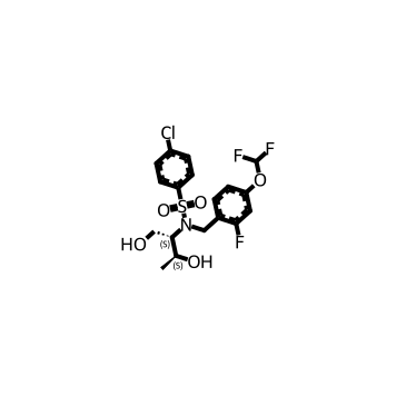 C[C@H](O)[C@H](CO)N(Cc1ccc(OC(F)F)cc1F)S(=O)(=O)c1ccc(Cl)cc1